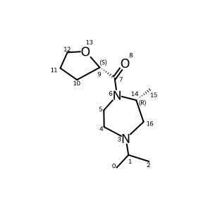 CC(C)N1CCN(C(=O)[C@@H]2CCCO2)[C@H](C)C1